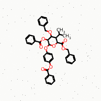 CC(C)C1C(C(=O)OCc2ccccc2)OC(Oc2ccc(OC(=O)c3ccccc3)cc2)C(OC(=O)c2ccccc2)C1OCc1ccccc1